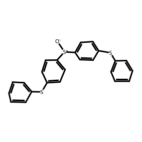 [O-][S+](c1ccc(Sc2ccccc2)cc1)c1ccc(Sc2ccccc2)cc1